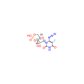 [N-]=[N+]=Nc1c(F)c(=O)[nH]c(=O)n1[C@@H]1O[C@@H]2COP(=O)(O)O[C@H]2[C@H]1O